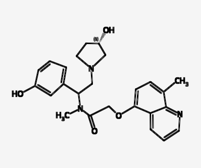 Cc1ccc(OCC(=O)N(C)C(CN2CC[C@H](O)C2)c2cccc(O)c2)c2cccnc12